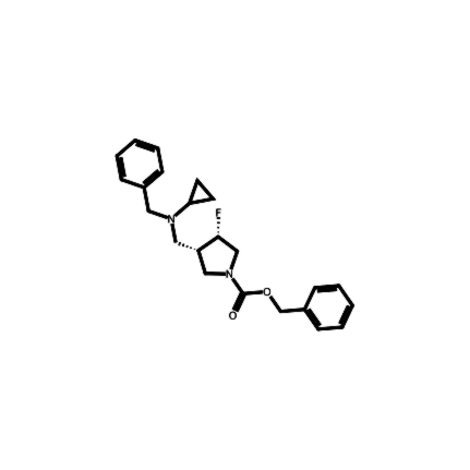 O=C(OCc1ccccc1)N1C[C@H](CN(Cc2ccccc2)C2CC2)[C@H](F)C1